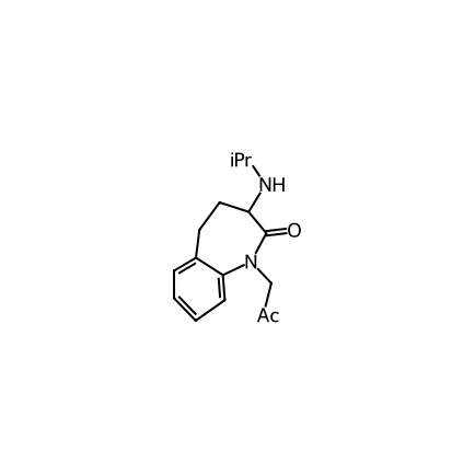 CC(=O)CN1C(=O)C(NC(C)C)CCc2ccccc21